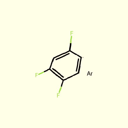 Fc1[c]cc(F)c(F)c1.[Ar]